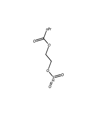 CCCC(=O)OCCO[SH](=O)=O